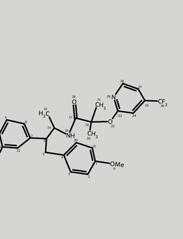 COc1ccc(CC(c2cccc(C#N)c2)C(C)NC(=O)C(C)(C)Oc2cc(C(F)(F)F)ccn2)cc1